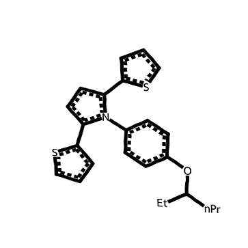 CCCC(CC)Oc1ccc(-n2c(-c3cccs3)ccc2-c2cccs2)cc1